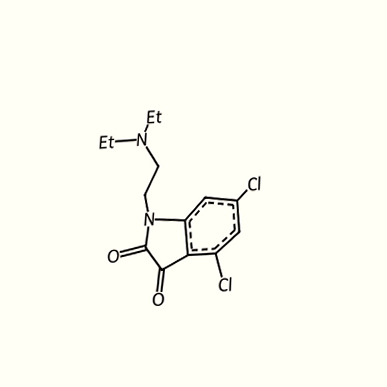 CCN(CC)CCN1C(=O)C(=O)c2c(Cl)cc(Cl)cc21